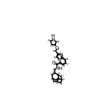 O=C(NCC12CC3CC4CC(C1)C4(C3)C2)c1cccc2nc(COC3CCNC3)cn12